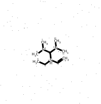 C=C[SiH](CC)C(N(C)C)N(C)C